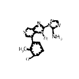 CCn1c(-n2ncnc2N)nc2cncc(-c3cccc(Cl)c3C)c21